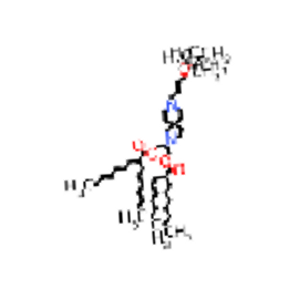 CCCCCCCC(CCCCCCC)C(=O)OCC(COC(=O)C(CCCCCCC)CCCCCCC)N1CCC2(CCN(CCCCO[Si](C)(C)C(C)(C)C)CC2)C1